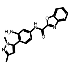 Cc1cc(-c2ccc(NC(=O)c3nc4ccccc4o3)cc2N)n(C)n1